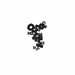 CS(=O)(=O)NCc1csc2c1S(=O)(=O)N=C(C1=C(O)C3CCCCCC3N(Cc3ccc(F)c(Cl)c3)C1=O)N2